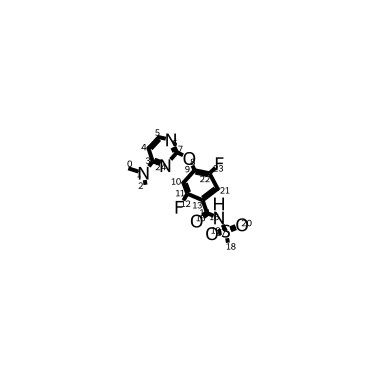 CN(C)c1ccnc(Oc2cc(F)c(C(=O)NS(C)(=O)=O)cc2F)n1